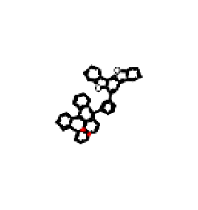 c1ccc(-c2ccccc2-c2c3ccccc3c(-c3cccc(-c4cc5c6ccccc6oc5c5c4oc4ccccc45)c3)c3ccccc23)cc1